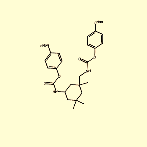 CCCCCCCCCc1ccc(OC(=O)NCC2(C)CC(NC(=O)Oc3ccc(CCCCCCCCC)cc3)CC(C)(C)C2)cc1